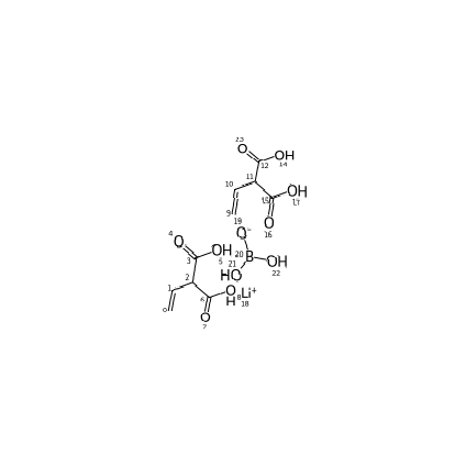 C=CC(C(=O)O)C(=O)O.C=CC(C(=O)O)C(=O)O.[Li+].[O-]B(O)O